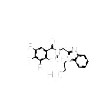 CCCn1c(CN(C)C(=O)c2cc(F)c(F)c(F)c2F)nc2ccccc21